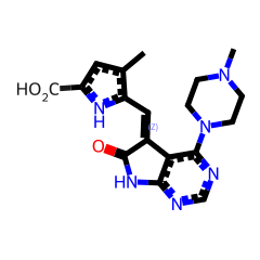 Cc1cc(C(=O)O)[nH]c1/C=C1\C(=O)Nc2ncnc(N3CCN(C)CC3)c21